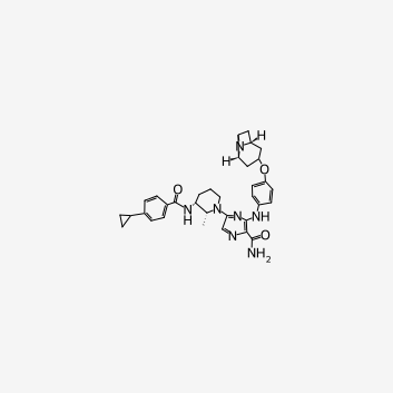 C[C@@H]1[C@H](NC(=O)c2ccc(C3CC3)cc2)CCCN1c1cnc(C(N)=O)c(Nc2ccc(OC3C[C@H]4CC5[C@@H](C3)N54)cc2)n1